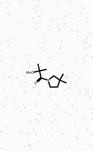 COC(C)(C)C(=O)N1CCC(C)(C)C1